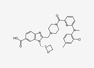 Cc1ccc(N(C)c2cccc(C(=O)N3CCN(Cc4nc5ccc(C(=O)O)cc5n4C[C@@H]4CCO4)CC3)n2)c(Cl)c1